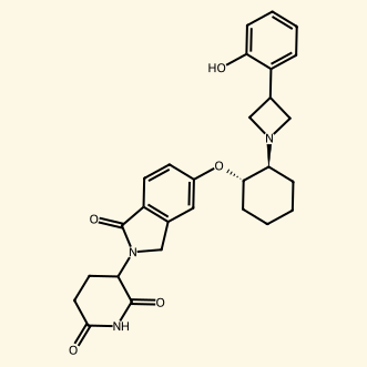 O=C1CCC(N2Cc3cc(O[C@H]4CCCC[C@@H]4N4CC(c5ccccc5O)C4)ccc3C2=O)C(=O)N1